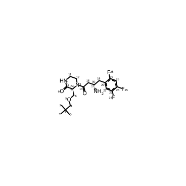 CC(C)(C)COC[C@H]1C(=O)NCCN1C(=O)C[C@@H](N)Cc1cc(F)c(F)cc1F